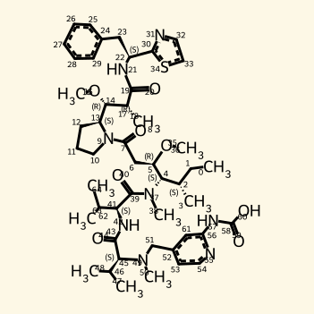 CC[C@H](C)[C@@H]([C@@H](CC(=O)N1CCC[C@H]1[C@H](OC)[C@@H](C)C(=O)N[C@@H](Cc1ccccc1)c1nccs1)OC)N(C)C(=O)[C@@H](NC(=O)[C@H](C(C)C)N(C)Cc1ccnc(NC(=O)O)c1)C(C)C